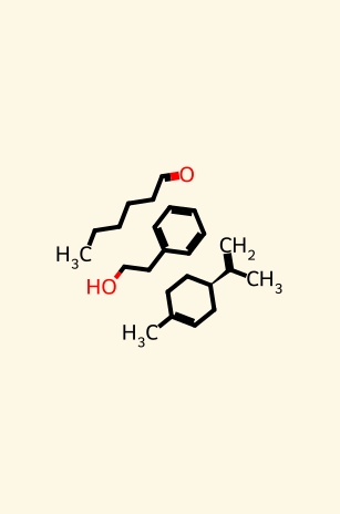 C=C(C)[C@H]1CC=C(C)CC1.CCCCCC=O.OCCc1ccccc1